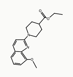 CCOC(=O)C1CCN(c2ccc3cccc(OC)c3n2)CC1